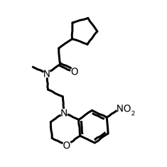 CN(CCN1CCOc2ccc([N+](=O)[O-])cc21)C(=O)CC1CCCC1